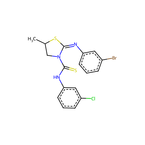 CC1CN(C(=S)Nc2cccc(Cl)c2)/C(=N\c2cccc(Br)c2)S1